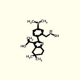 C=C(O)c1c(-c2ccc(N(C)C)cc2CNS)sc2c1CC(C)(C)CC2